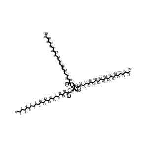 CCCCCCCCCCCCCCCCCCCCCC(=O)OCC1(COC(=O)CCCCCCCCCCCCCCCCCCCCC)COC(CCCCCCCCCCCCCCCCCCCCC)=N1